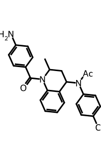 CC(=O)N(c1ccc(Cl)cc1)C1CC(C)N(C(=O)c2ccc(N)cc2)c2ccccc21